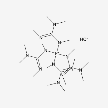 CN=C(N(C)C)N(C)[P+](N(C)C(=NC)N(C)C)(N(C)C(=NC)N(C)C)N(C)C(=NC)N(C)C.[OH-]